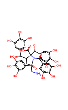 NCCCC(C(=O)c1cc(O)c(O)c(O)c1)[C@@](C(=O)O)(C(=O)c1cc(O)c(O)c(O)c1)N(C(=O)c1cc(O)c(O)c(O)c1)C(=O)c1cc(O)c(O)c(O)c1